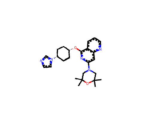 CC1(C)CN(c2cc3ncccc3c(O[C@H]3CC[C@@H](n4ccnc4)CC3)n2)CC(C)(C)O1